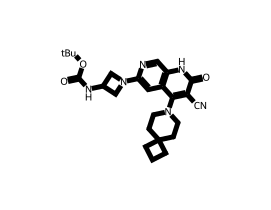 CC(C)(C)OC(=O)NC1CN(c2cc3c(N4CCC5(CCC5)CC4)c(C#N)c(=O)[nH]c3cn2)C1